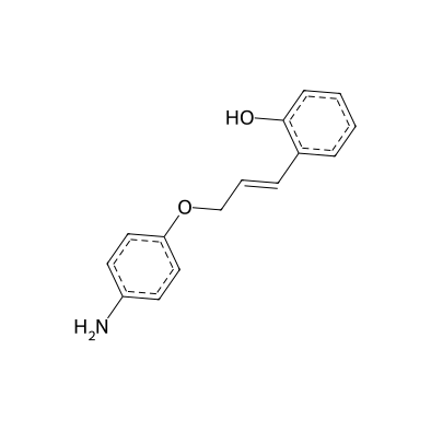 Nc1ccc(OCC=Cc2ccccc2O)cc1